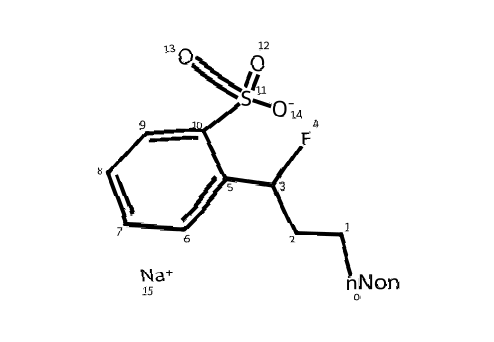 CCCCCCCCCCCC(F)c1ccccc1S(=O)(=O)[O-].[Na+]